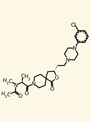 CC(=O)N(C)[C@@H](C)C(=O)N1CCC2(CC1)C[C@H](CCN1CCN(c3cccc(Cl)c3)CC1)OC2=O